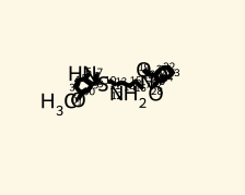 COc1ccc2[nH]cc(SCC(N)CCCCN3C(=O)C4C5C=CC(O5)C4C3=O)c2c1